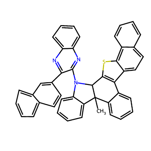 CC12c3ccccc3-c3c(sc4c3ccc3ccccc34)C1N(c1nc3ccccc3nc1-c1ccc3ccccc3c1)c1ccccc12